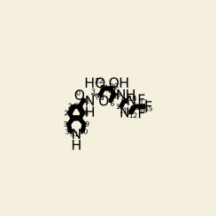 O=C(NC[C@H]1OC[C@H](Nc2cncc(C(F)(F)F)n2)[C@@H](O)[C@H]1O)c1ccc2c(c1)CCNCC2